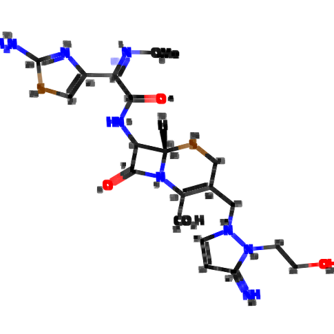 CO/N=C(\C(=O)NC1C(=O)N2C(C(=O)O)=C(Cn3ccc(=N)n3CCO)CS[C@@H]12)c1csc(N)n1